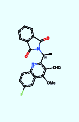 COc1c(C=O)c([C@H](C)N2C(=O)c3ccccc3C2=O)nc2ccc(F)cc12